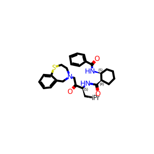 CC(C)C[C@H](NC(=O)[C@@H]1CCCC[C@@H]1NC(=O)c1ccccc1)C(=O)CN1CCSc2ccccc2C1